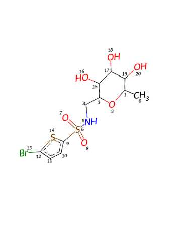 CC1OC(CNS(=O)(=O)c2ccc(Br)s2)C(O)C(O)C1O